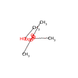 CCCCCCCCCCCCCCCC(=O)O.CCCCCCCCCCCCCCCCCC(=O)OCC(COC(=O)CCCCCCCCCCCCCCCCC)OC(=O)CCCCCCCCCCCCCCCCC